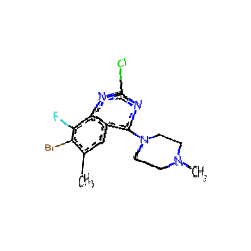 Cc1cc2c(N3CCN(C)CC3)nc(Cl)nc2c(F)c1Br